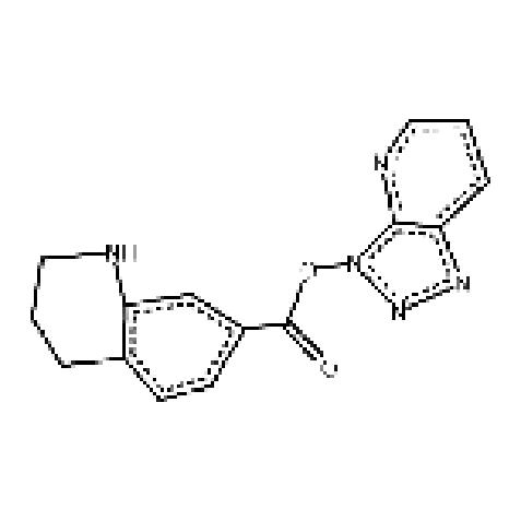 O=C(On1nnc2cccnc21)c1ccc2c(c1)NCCC2